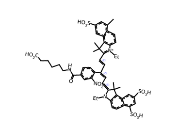 CCN1/C(=C/C=C(/C=C/C2=[N+](CC)c3ccc4c(C)cc(S(=O)(=O)O)cc4c3C2(C)C)c2ccc(C(=O)NCCCCCC(=O)O)cc2[N+](=O)[O-])C(C)(C)c2c1ccc1c(S(=O)(=O)O)cc(S(=O)(=O)O)cc21